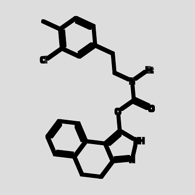 CCN(CCc1ccc(C)c(Cl)c1)C(=O)Oc1[nH]nc2c1-c1ccccc1CC2